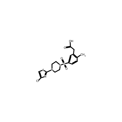 Cc1ccc(S(=O)(=O)N2CCN(c3nc(Cl)cs3)CC2)cc1CC(=O)O